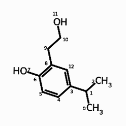 CC(C)c1ccc(O)c(CCO)c1